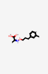 C/C(=N/OCCCc1cccc(C)c1)C(=O)O